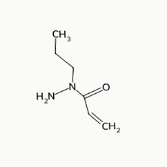 C=CC(=O)N(N)CCC